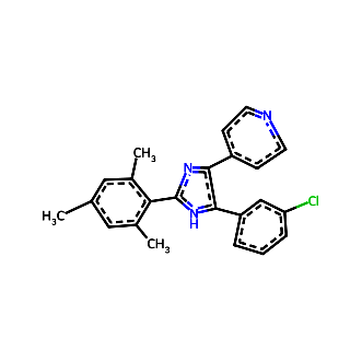 Cc1cc(C)c(-c2nc(-c3ccncc3)c(-c3cccc(Cl)c3)[nH]2)c(C)c1